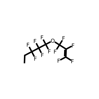 CCC(F)(F)C(F)(F)C(F)(F)OC(F)(F)C(F)=C(F)F